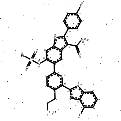 CCOC(=O)CCc1ccc(-c2cc3c(C(=O)NC)c(-c4ccc(F)cc4)oc3cc2NS(=O)(=O)CC)nc1-c1cc2c(F)cccc2[nH]1